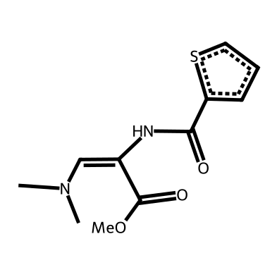 COC(=O)C(=CN(C)C)NC(=O)c1cccs1